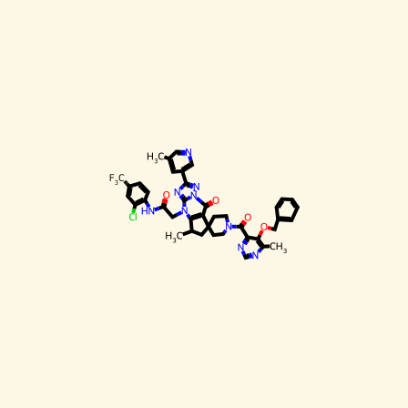 Cc1cncc(-c2nc3n(CC(=O)Nc4ccc(C(F)(F)F)cc4Cl)c4c(c(=O)n3n2)C2(CCN(C(=O)c3ncnc(C)c3OCc3ccccc3)CC2)CC4C)c1